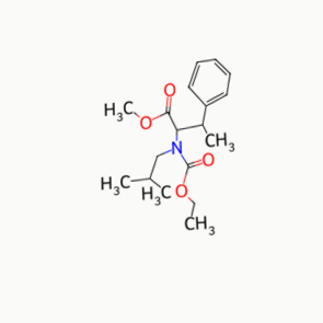 CCOC(=O)N(CC(C)C)C(C(=O)OC)C(C)c1ccccc1